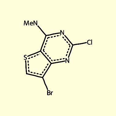 CNc1nc(Cl)nc2c(Br)csc12